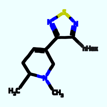 CCCCCCc1nsnc1C1=CCC(C)N(C)C1